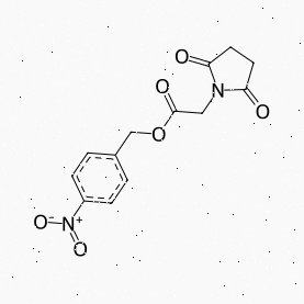 O=C(CN1C(=O)CCC1=O)OCc1ccc([N+](=O)[O-])cc1